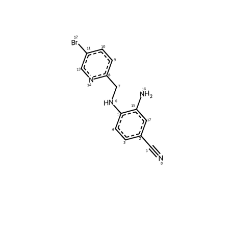 N#Cc1ccc(NCc2ccc(Br)cn2)c(N)c1